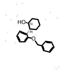 O[C@H]1CCCC[C@@H]1c1ccccc1OCc1ccccc1